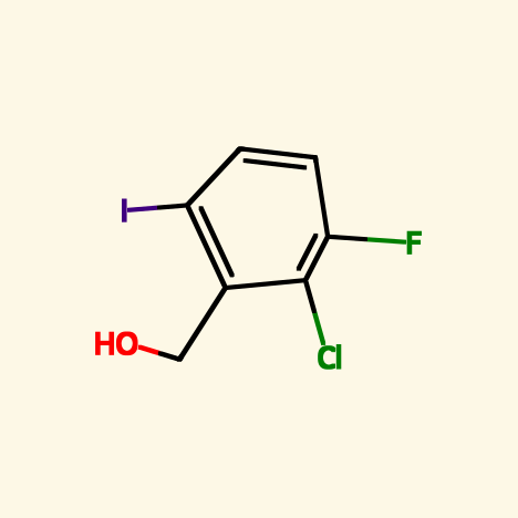 OCc1c(I)ccc(F)c1Cl